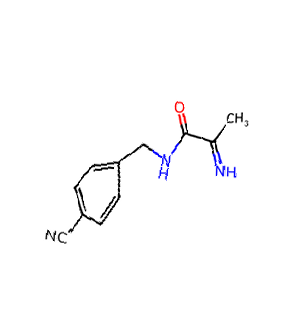 CC(=N)C(=O)NCc1ccc(C#N)cc1